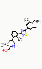 C=C/C=C(\C=C(\C#N)CCC(C)C)c1nc(-c2cccc(C(CC=O)CN(C)CCO)c2CC)ns1